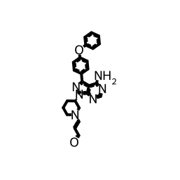 Nc1ncnc2c1c(-c1ccc(Oc3ccccc3)cc1)nn2[C@@H]1CCCN(C=CC=O)C1